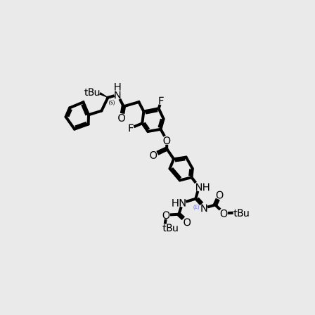 CC(C)(C)OC(=O)/N=C(/NC(=O)OC(C)(C)C)Nc1ccc(C(=O)Oc2cc(F)c(CC(=O)N[C@@H](Cc3ccccc3)C(C)(C)C)c(F)c2)cc1